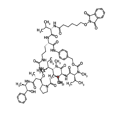 CC[C@H](C)[C@@H]([C@@H](CC(=O)N1CCC[C@H]1C(OC)[C@@H](C)C(=O)N[C@H](C)[C@@H](O)c1ccccc1)OC)N(C)C(=O)[C@@H](NC(=O)[C@H](C(C)C)N(C)C(=O)OCc1ccc(NC(=O)[C@H](CCCNC(N)=O)NC(=O)[C@@H](NC(=O)CCCCCON2C(=O)c3ccccc3C2=O)C(C)C)cc1)C(C)C